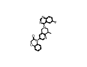 CC1CN(c2ncnc3ccc(F)cc23)Cc2cc(N3C(=O)COc4ccccc43)cnc21